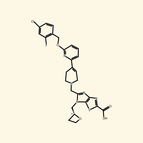 O=C(O)c1nc2nc(CN3CC=C(c4cccc(OCc5ccc(Cl)cc5F)n4)CC3)n(C[C@@H]3CCO3)c2s1